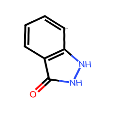 O=c1[nH][nH]c2[c]cccc12